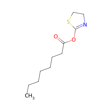 CCCCCCCC(=O)OC1=NCCS1